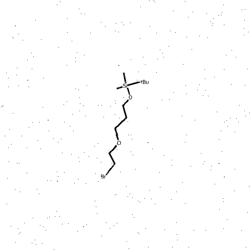 CC(C)(C)[Si](C)(C)OCCCOCCBr